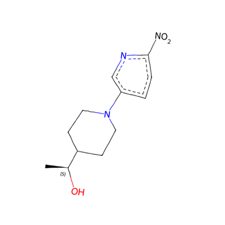 C[C@H](O)C1CCN(c2ccc([N+](=O)[O-])nc2)CC1